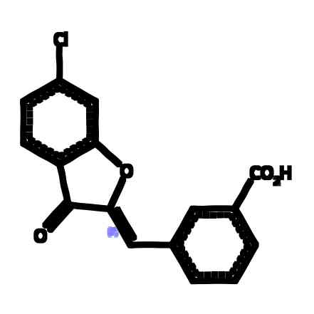 O=C(O)c1cccc(/C=C2\Oc3cc(Cl)ccc3C2=O)c1